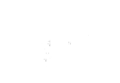 O=C(c1ccccc1)C1CCN(C(CCNS(=O)(=O)c2ccccc2[N+](=O)[O-])c2ccccc2)CC1